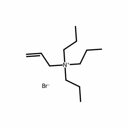 C=CC[N+](CCC)(CCC)CCC.[Br-]